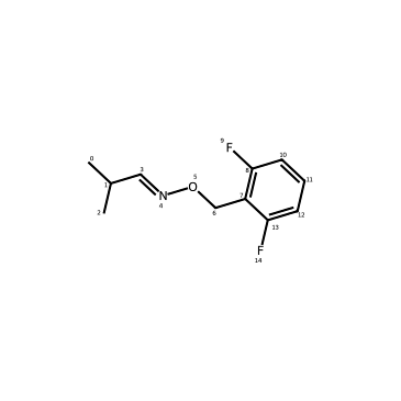 CC(C)C=NOCc1c(F)cccc1F